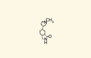 Cn1ccc(-c2ccc3c(c2)C(=O)NC3)c1